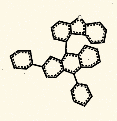 c1ccc(-c2ccc3c(-c4ccccc4)c4ccccc4c(-c4cccc5oc6ccccc6c45)c3c2)cc1